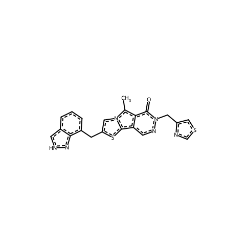 Cc1c2c(=O)n(Cc3cscn3)ncc2c2sc(Cc3cccc4c[nH]nc34)cn12